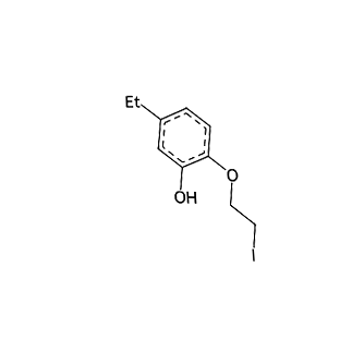 CCc1ccc(OCCI)c(O)c1